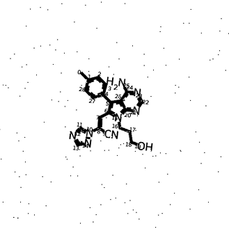 Cc1ccc(-c2c(C=C(C#N)n3cncn3)n(CCCO)c3ncnc(N)c23)cc1